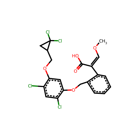 COC=C(C(=O)O)c1ccccc1COc1cc(OCC2CC2(Cl)Cl)c(Cl)cc1Cl